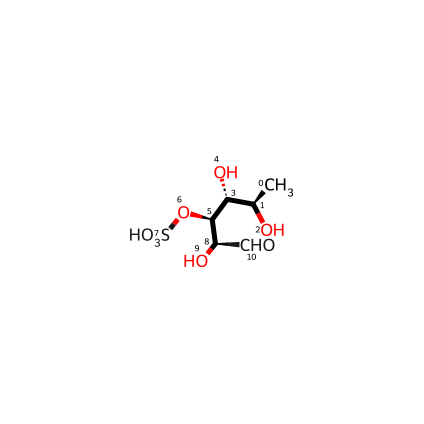 C[C@@H](O)[C@@H](O)[C@H](OS(=O)(=O)O)[C@H](O)C=O